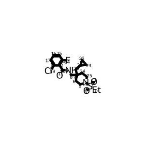 CCS(=O)(=O)N1CCC(CNC(=O)c2c(F)cccc2Cl)(CC2CC2)CC1